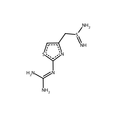 N=S(N)Cc1csc(N=C(N)N)n1